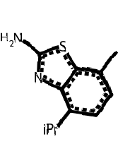 Cc1ccc(C(C)C)c2nc(N)sc12